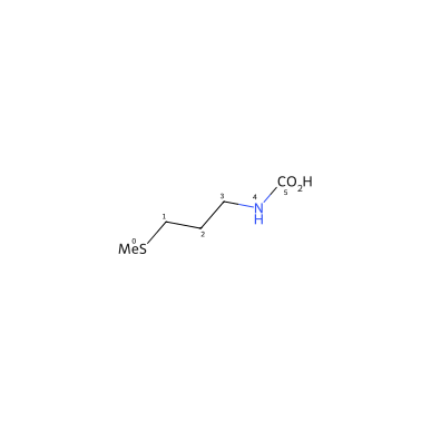 CSCCCNC(=O)O